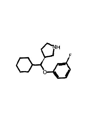 Fc1cccc(OC(C2CCCCC2)[C@H]2CCNC2)c1